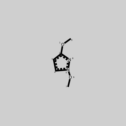 COc1ccn(OC)n1